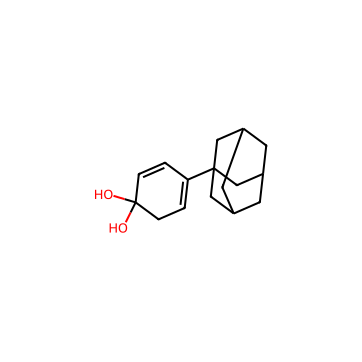 OC1(O)C=CC(C23CC4CC(CC(C4)C2)C3)=CC1